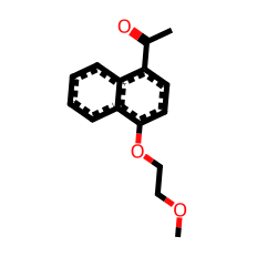 COCCOc1ccc(C(C)=O)c2ccccc12